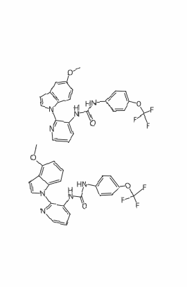 COc1ccc2c(ccn2-c2ncccc2NC(=O)Nc2ccc(OC(F)(F)F)cc2)c1.COc1cccc2c1ccn2-c1ncccc1NC(=O)Nc1ccc(OC(F)(F)F)cc1